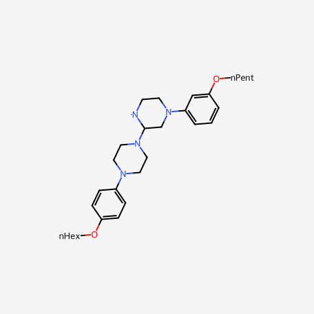 CCCCCCOc1ccc(N2CCN(C3CN(c4cccc(OCCCCC)c4)CC[N]3)CC2)cc1